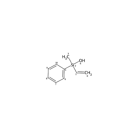 C=C[Si](C)(O)c1ccccc1